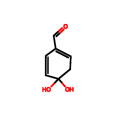 O=CC1=CCC(O)(O)C=C1